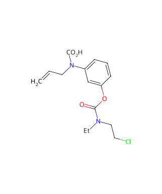 C=CCN(C(=O)O)c1cccc(OC(=O)N(CC)CCCl)c1